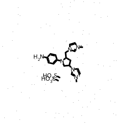 CS(=O)(=O)O.CS(=O)(=O)O.C[n+]1ccn(CC2CC(n3cc[n+](C)c3)CN2c2ccc(N)cc2)c1